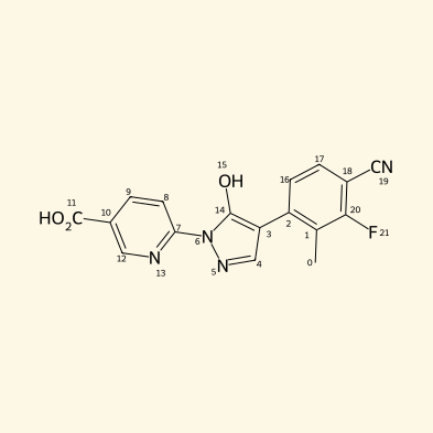 Cc1c(-c2cnn(-c3ccc(C(=O)O)cn3)c2O)ccc(C#N)c1F